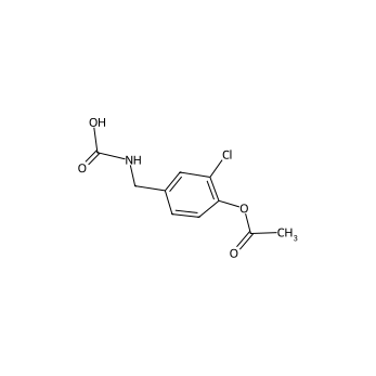 CC(=O)Oc1ccc(CNC(=O)O)cc1Cl